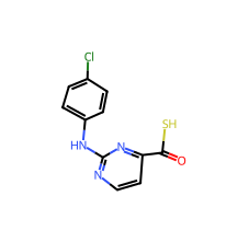 O=C(S)c1ccnc(Nc2ccc(Cl)cc2)n1